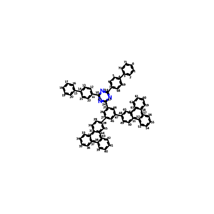 c1ccc(-c2ccc(-c3nc(-c4ccc(-c5ccccc5)cc4)nc(-c4cc(-c5ccc6c7ccccc7c7ccccc7c6c5)cc(-c5ccc6c7ccccc7c7ccccc7c6c5)c4)n3)cc2)cc1